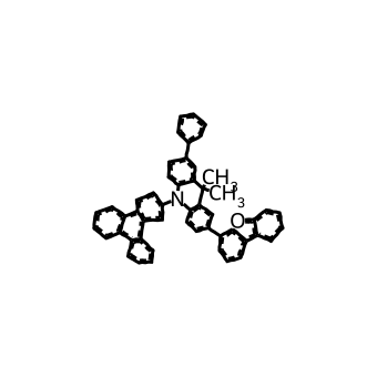 CC1(C)c2cc(-c3ccccc3)ccc2N(c2ccc3c4ccccc4c4ccccc4c3c2)c2ccc(-c3cccc4c3oc3ccccc34)cc21